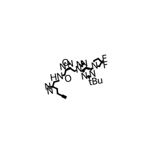 C#CCCC1(CCNC(=O)c2nonc2Cn2nnc3c(N4CCC(F)(F)C4)nc(C(C)(C)C)nc32)N=N1